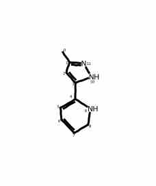 Cc1cc(C2=CC=CCN2)[nH]n1